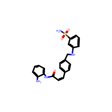 Nc1ccccc1NC(=O)/C=C\c1ccc(CNc2cccc(S(N)(=O)=O)c2)cc1